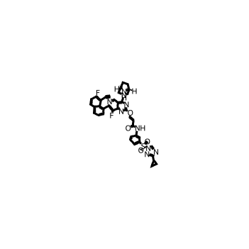 C#Cc1c(F)ccc2cccc(-c3ncc4c(N5C[C@H]6CC[C@@H](C5)N6)nc(OC=CC(=O)Nc5cccc(S(=O)(=O)n6cnc(C7CC7)n6)c5)nc4c3F)c12